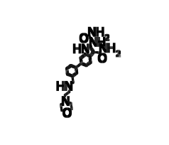 NC(=O)Nc1[nH]c2cc(-c3cccc(CNCCN4CCOCC4)c3)ccc2c1C(N)=O